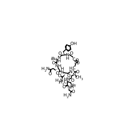 CC[C@H](C)[C@@H]1NC(=O)[C@@H](Cc2ccc(O)cc2)NC(=O)CCS(=O)(=O)CC[C@@H](C(=O)N(C)CC(=O)N[C@@](C)(CC(C)C)C(=O)NCC(N)=O)NC(=O)[C@H](CC(N)=O)NC(=O)[C@H](CCC(N)=O)NC1=O